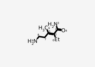 CCC(C(N)=O)=C(C)CCN